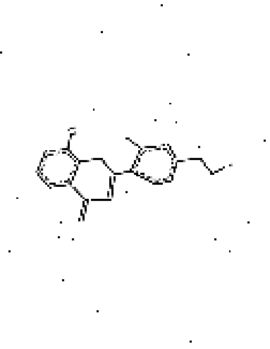 C=C1C=C(c2ccc(CCC)cc2C)Cc2c(Cl)cccc21